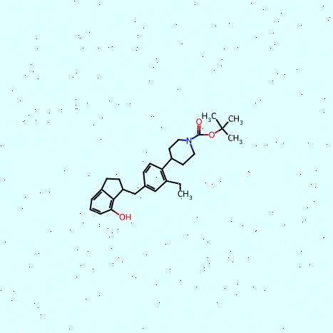 CCc1cc(CC2CCc3cccc(O)c32)ccc1C1CCN(C(=O)OC(C)(C)C)CC1